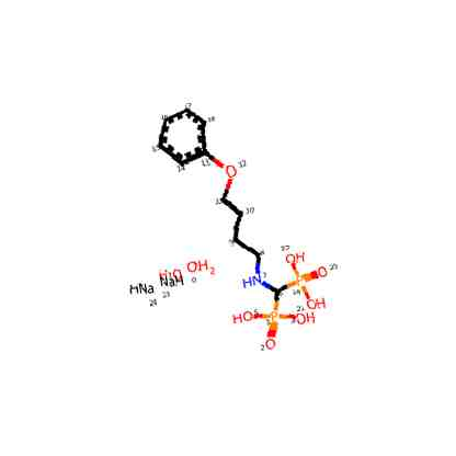 O.O.O=P(O)(O)C(NCCCCOc1ccccc1)P(=O)(O)O.[NaH].[NaH]